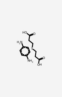 Nc1ccc(N)cc1.O=C(O)CCSCCC(=O)O